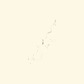 C=N/C(NC1CCCN(S(C)(=O)=O)C1)=C(/C)C(N)/C=C/O/N=C/C